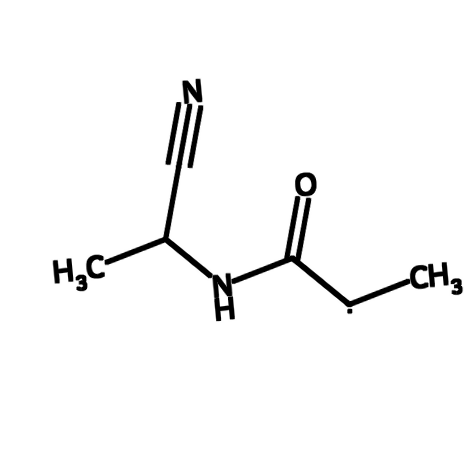 C[CH]C(=O)NC(C)C#N